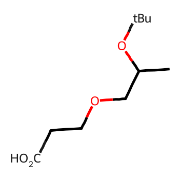 CC(COCCC(=O)O)OC(C)(C)C